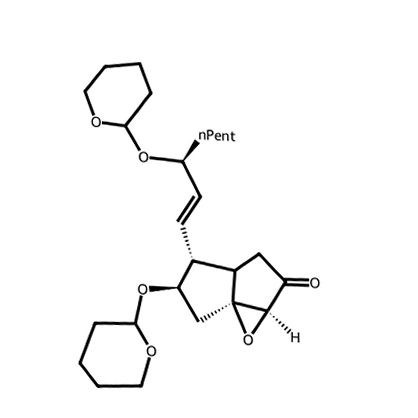 CCCCC[C@@H](C=C[C@@H]1C2CC(=O)[C@H]3O[C@@]23C[C@H]1OC1CCCCO1)OC1CCCCO1